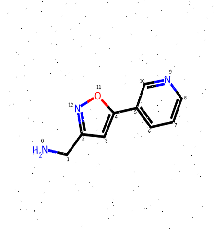 NCc1cc(-c2cccnc2)on1